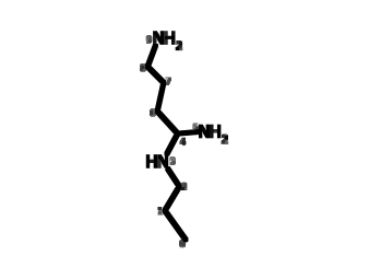 CCCNC(N)CCCN